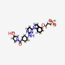 CS(=O)(=O)CCCOc1cccc2c1ccn2-c1ccnc(N[C@H]2CC[C@H](C(=O)N3CC[C@H](O)C3)CC2)n1